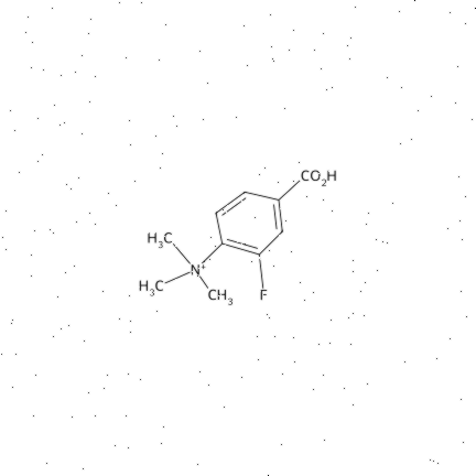 C[N+](C)(C)c1ccc(C(=O)O)cc1F